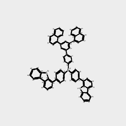 c1ccc2c(-c3cc(-c4ccc(N(c5ccc(-c6cccc7c6sc6ccccc67)cc5)c5ccc(-c6cccc7c6sc6ccccc67)cc5)cc4)cc(-c4cccc5ccccc45)c3)cccc2c1